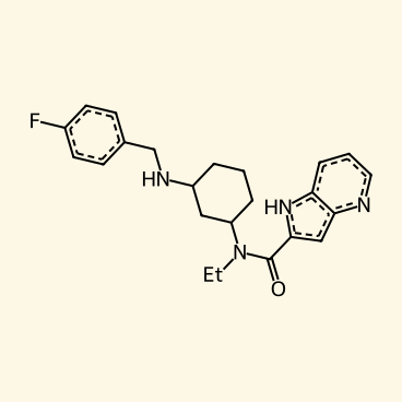 CCN(C(=O)c1cc2ncccc2[nH]1)C1CCCC(NCc2ccc(F)cc2)C1